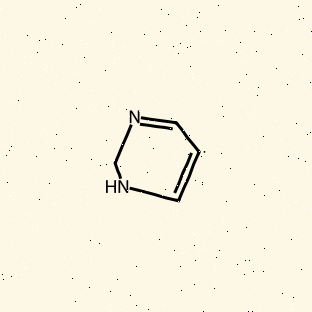 [C]1=CNCN=C1